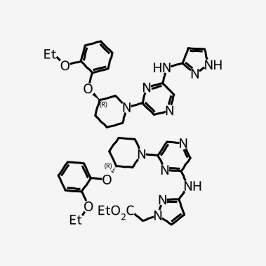 CCOC(=O)Cn1ccc(Nc2cncc(N3CCC[C@@H](Oc4ccccc4OCC)C3)n2)n1.CCOc1ccccc1O[C@@H]1CCCN(c2cncc(Nc3cc[nH]n3)n2)C1